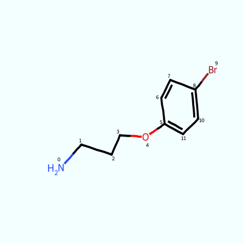 NCCCOc1ccc(Br)cc1